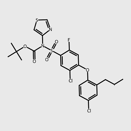 C[CH]Cc1cc(Cl)ccc1Oc1cc(F)c(S(=O)(=O)N(C(=O)OC(C)(C)C)c2cscn2)cc1Cl